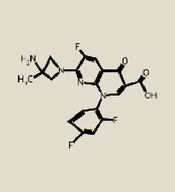 CC1(N)CN(c2nc3c(cc2F)c(=O)c(C(=O)O)cn3-c2ccc(F)cc2F)C1